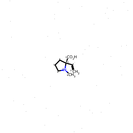 C=C[C@@]1(C(=O)O)CCCN1C